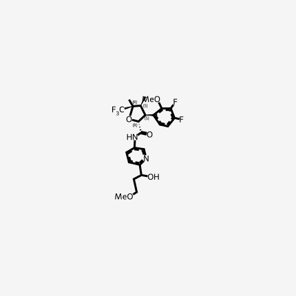 COCCC(O)c1ccc(NC(=O)[C@@H]2O[C@@](C)(C(F)(F)F)[C@@H](C)[C@H]2c2ccc(F)c(F)c2OC)cn1